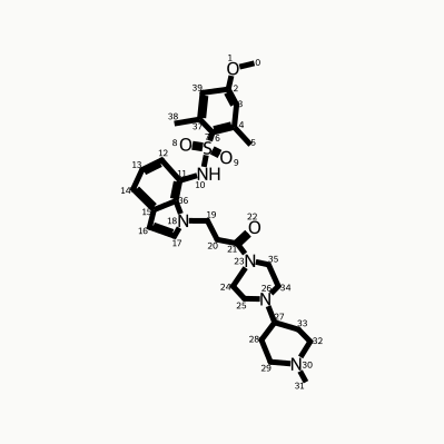 COc1cc(C)c(S(=O)(=O)Nc2cccc3ccn(CCC(=O)N4CCN(C5CCN(C)CC5)CC4)c23)c(C)c1